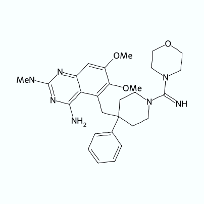 CNc1nc(N)c2c(CC3(c4ccccc4)CCN(C(=N)N4CCOCC4)CC3)c(OC)c(OC)cc2n1